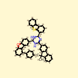 CC1(C)c2ccccc2-c2ccc(C3=NC(c4cccc5c4sc4ccccc45)NC(c4ccc5oc6cccc(-c7ccccc7)c6c5c4)N3)cc21